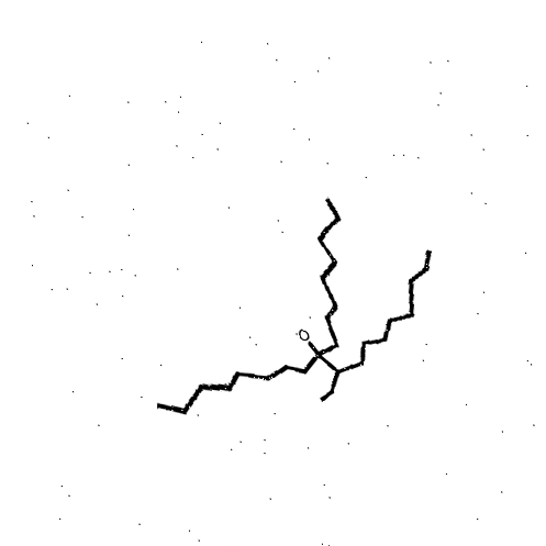 CCCCCCCCC(CC)C([O])(CCCCCCCC)CCCCCCCC